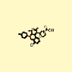 Cc1ccc(CCc2c(Cl)ccc(F)c2-c2c(C3CN(C(=O)O)CCO3)c(C)nn(C)c2=O)cc1